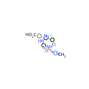 CN1CCN(CCC(=O)Nc2cc(Nc3cc(-c4cc(Cl)ccc4F)nnc3[C@H]3CC[C@@H](C(=O)O)CC3)ccn2)CC1